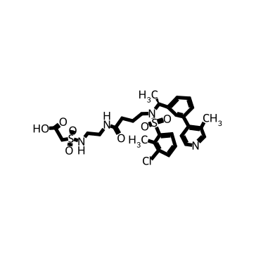 Cc1cnccc1-c1cccc([C@H](C)N(CCCC(=O)NCCNS(=O)(=O)CC(=O)O)S(=O)(=O)c2cccc(Cl)c2C)c1